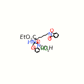 CCOC(=O)[C@H](CCCCCCN1C(=O)c2ccccc2C1=O)NC1COc2ccccc2N(CC(=O)O)C1=O.Cl